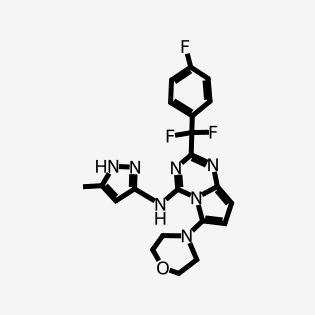 Cc1cc(Nc2nc(C(F)(F)c3ccc(F)cc3)nc3ccc(N4CCOCC4)n23)n[nH]1